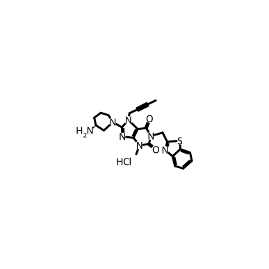 CC#CCn1c(N2CCC[C@@H](N)C2)nc2c1c(=O)n(Cc1nc3ccccc3s1)c(=O)n2C.Cl